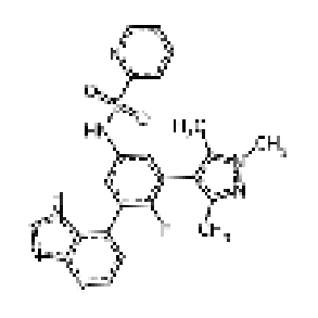 Cc1nn(C)c(C)c1-c1cc(NS(=O)(=O)c2ccccn2)cc(-c2ccnc3nc[nH]c23)c1F